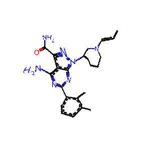 CC=CN1CCCC(n2nc(C(N)=O)c3c(N)nc(-c4cccc(C)c4C)nc32)C1